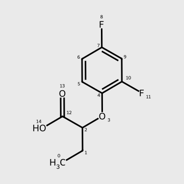 CCC(Oc1ccc(F)cc1F)C(=O)O